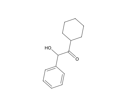 O=C(C1CCCCC1)C(O)c1ccccc1